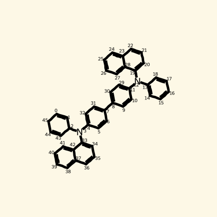 C1=CC(N(c2ccc(-c3ccc(N(c4ccccc4)c4cccc5ccccc45)cc3)cc2)c2cccc3ccccc23)C=CC1